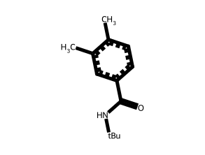 Cc1ccc(C(=O)NC(C)(C)C)cc1C